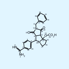 N=C(N)c1ccc(C2C3C(=O)N(Cc4ccccc4)C(=O)C3C3(OC(=O)O)CCCN23)cc1